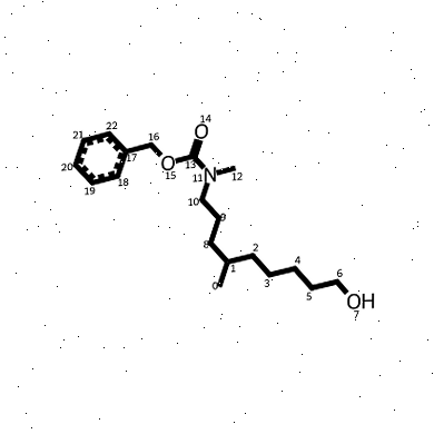 CC(CCCCCO)CCCN(C)C(=O)OCc1ccccc1